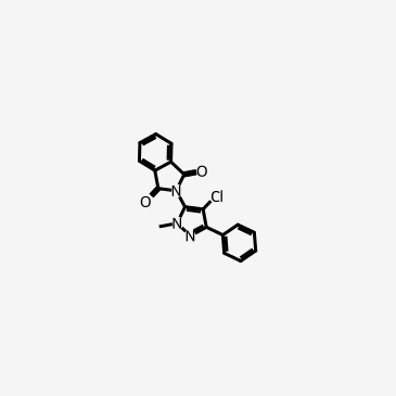 Cn1nc(-c2ccccc2)c(Cl)c1N1C(=O)c2ccccc2C1=O